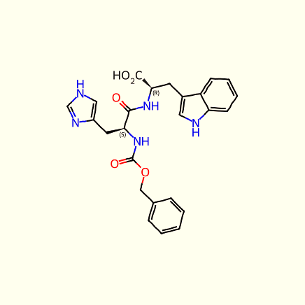 O=C(N[C@@H](Cc1c[nH]cn1)C(=O)N[C@H](Cc1c[nH]c2ccccc12)C(=O)O)OCc1ccccc1